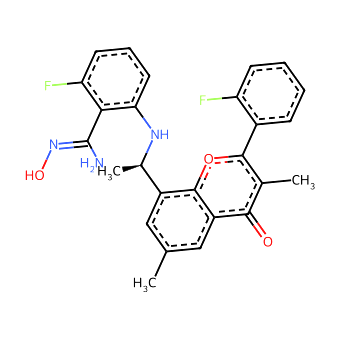 Cc1cc([C@@H](C)Nc2cccc(F)c2/C(N)=N/O)c2oc(-c3ccccc3F)c(C)c(=O)c2c1